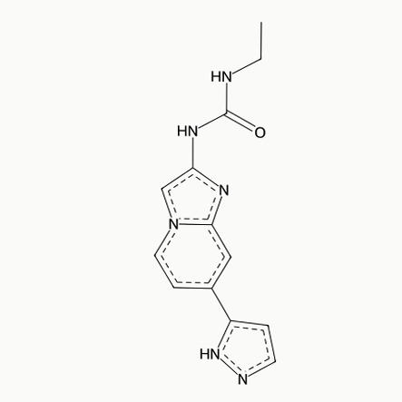 CCNC(=O)Nc1cn2ccc(-c3ccn[nH]3)cc2n1